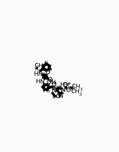 CC[C@@H](Nc1c(Nc2cccc(C(=O)N3CCO[C@@H]4CN(C(=O)OC(C)(C)C)C[C@H]43)c2O)c(=O)c1=O)c1ccccc1